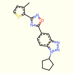 Cc1ccsc1-c1noc(-c2ccc3c(c2)nnn3C2CCCC2)n1